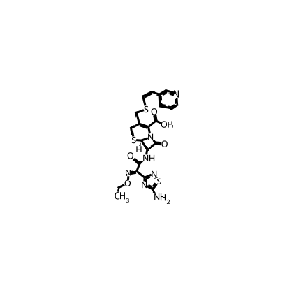 CCO/N=C(/C(=O)NC1C(=O)N2C(C(=O)O)=C(CS/C=C\c3cccnc3)CS[C@H]12)c1nsc(N)n1